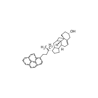 C=C(CCc1ccc2ccc3cccc4ccc1c2c34)[C@H]1CCC2[C@@H]3CC=C4C[C@@H](O)CC[C@@]45CC(C[C@@]21C)[C@@H]35